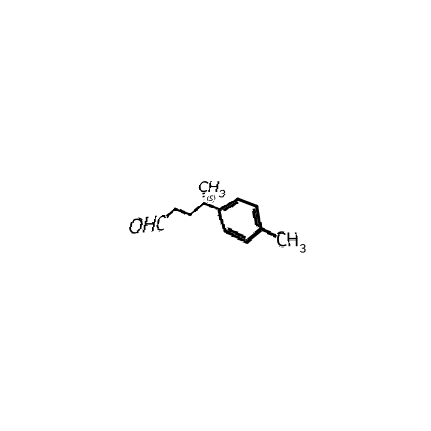 Cc1ccc([C@@H](C)CCC=O)cc1